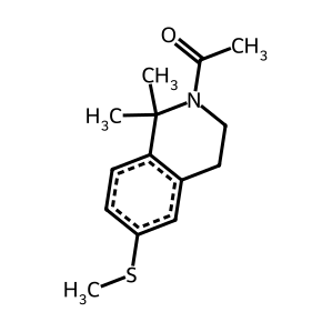 CSc1ccc2c(c1)CCN(C(C)=O)C2(C)C